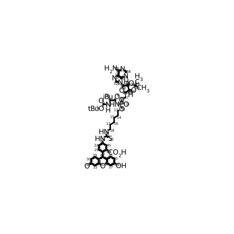 CC[C@H](C)[C@H](NC(=O)OC(C)(C)C)C(=O)NP(=O)(OCCCCCCNC(=S)Nc1ccc(-c2c3ccc(=O)cc-3oc3cc(O)ccc23)c(C(=O)O)c1)OC[C@H]1O[C@@H](n2cnc3c(N)ncnc32)[C@@H]2OC(C)(C)O[C@@H]21